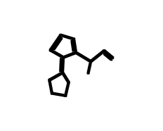 C=CC(C)C1=CC=CC1=C1CCCC1